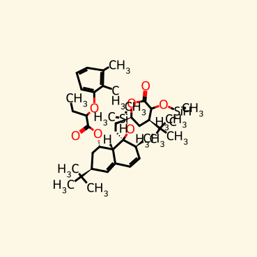 CCC(Oc1cccc(C)c1C)C(=O)O[C@H]1C[C@H](C(C)(C)C)C=C2C=C[C@H](C)[C@](CC[C@@H]3C[C@H](C(C)(C)C)C(O[SiH](C)C)C(=O)O3)(O[SiH](C)C)[C@H]21